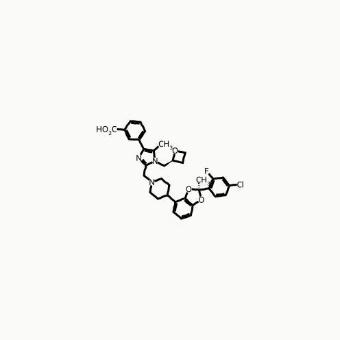 Cc1c(-c2cccc(C(=O)O)c2)nc(CN2CCC(c3cccc4c3O[C@@](C)(c3ccc(Cl)cc3F)O4)CC2)n1C[C@@H]1CCO1